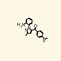 Cc1cc(C(=O)c2ccc(N(C)C)cc2)n(-c2ccccc2N)n1